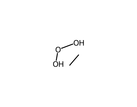 CC.OOO